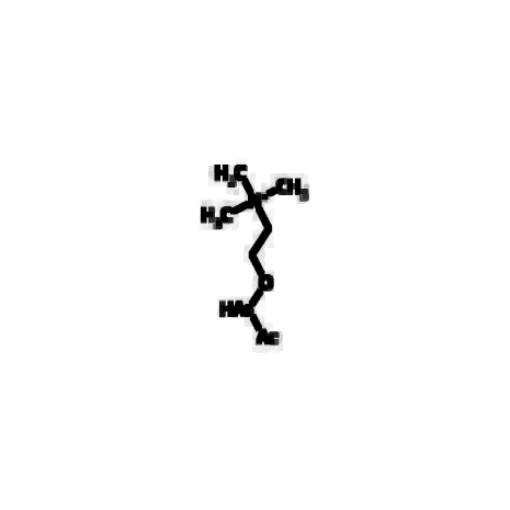 CC(=O)[AsH]OCC[N+](C)(C)C